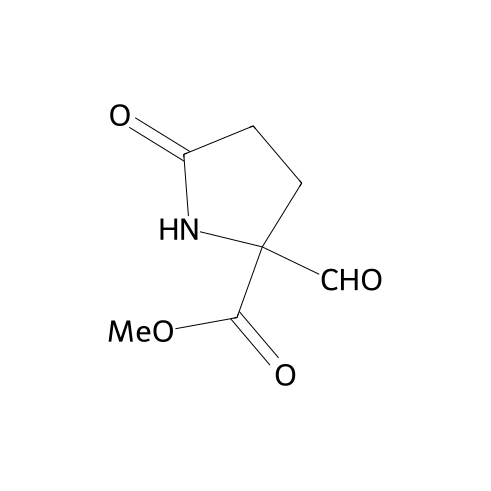 COC(=O)C1(C=O)CCC(=O)N1